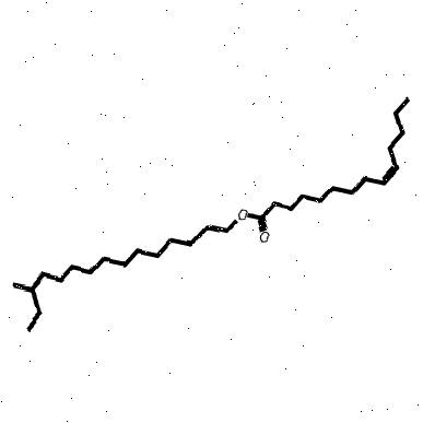 CCCC/C=C\CCCCCCCC(=O)OCCCCCCCCCCCCC(C)CC